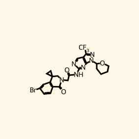 O=C(CN1CC2(CC2)c2cc(Br)ccc2C1=O)Nc1ncc2c(C(F)(F)F)nn(C3CCCCO3)c2n1